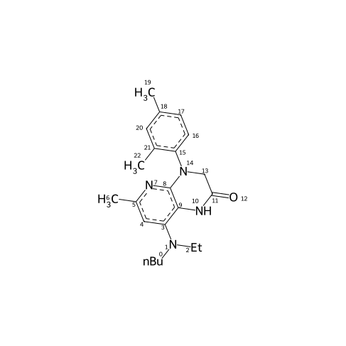 CCCCN(CC)c1cc(C)nc2c1NC(=O)CN2c1ccc(C)cc1C